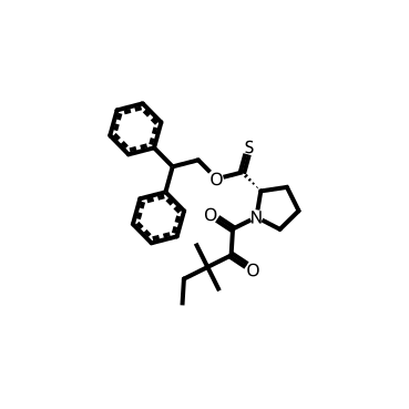 CCC(C)(C)C(=O)C(=O)N1CCC[C@H]1C(=S)OCC(c1ccccc1)c1ccccc1